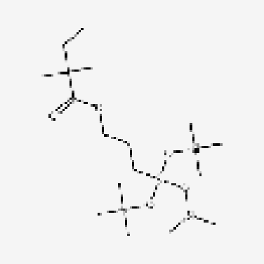 CCC(C)(C)C(=O)OCCC[Si](O[SiH](C)C)(O[Si](C)(C)C)O[Si](C)(C)C